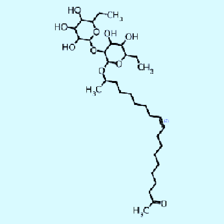 CCC1OC(OC2C(OC(C)CCCCCC/C=C\CCCCCCCC(C)=O)OC(CC)C(O)C2O)C(O)C(O)C1O